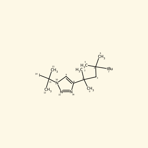 CC(C)(CC(C)(C)C(C)(C)C)c1cn(C(C)(C)I)nn1